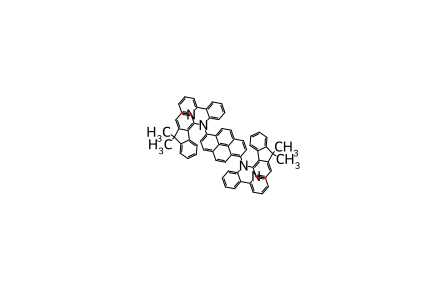 CC1(C)c2ccccc2-c2c(N(c3ccccc3-c3ccccn3)c3ccc4ccc5c(N(c6ccccc6-c6ccccn6)c6cccc7c6-c6ccccc6C7(C)C)ccc6ccc3c4c65)cccc21